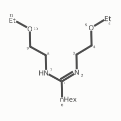 CCCCCCC(=NCCOCC)NCCOCC